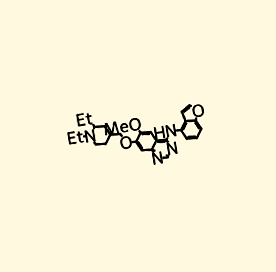 CCC1CC(COc2cc3ncnc(Nc4cccc5occc45)c3cc2OC)CCN1CC